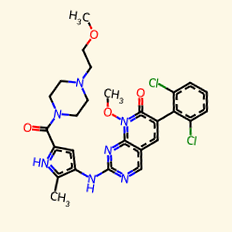 COCCN1CCN(C(=O)c2cc(Nc3ncc4cc(-c5c(Cl)cccc5Cl)c(=O)n(OC)c4n3)c(C)[nH]2)CC1